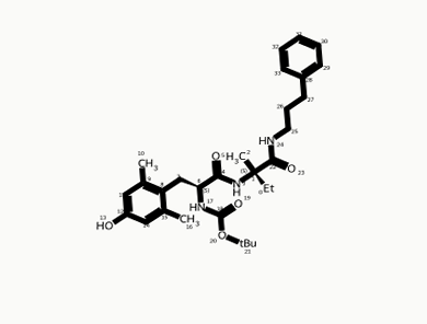 CC[C@](C)(NC(=O)[C@H](Cc1c(C)cc(O)cc1C)NC(=O)OC(C)(C)C)C(=O)NCCCc1ccccc1